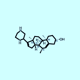 C[C@@H]1C=C2C[C@@H](O)CC[C@]2(C)[C@H]2CC[C@]3(C)C(C4CNCCN4)=CC[C@H]3[C@H]12